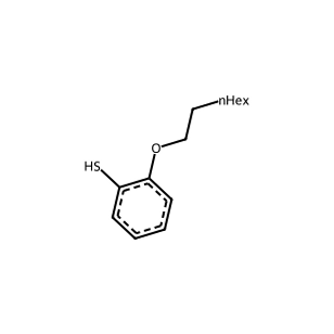 CCCCCCCCOc1ccccc1S